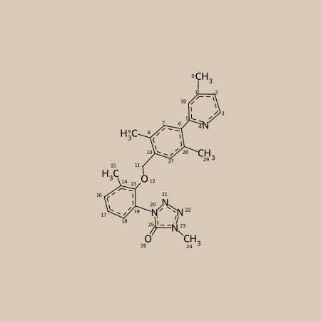 Cc1ccnc(-c2cc(C)c(COc3c(C)cccc3-n3nnn(C)c3=O)cc2C)c1